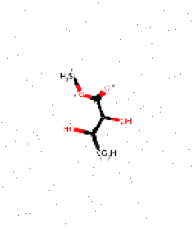 O=C(O)C(O)C(O)C(=O)O[SiH3]